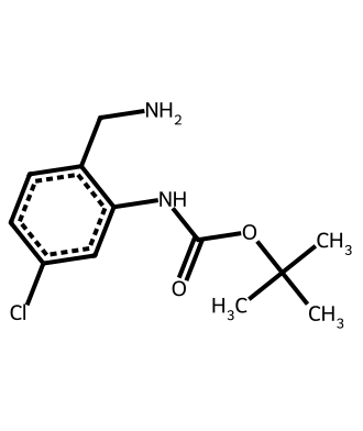 CC(C)(C)OC(=O)Nc1cc(Cl)ccc1CN